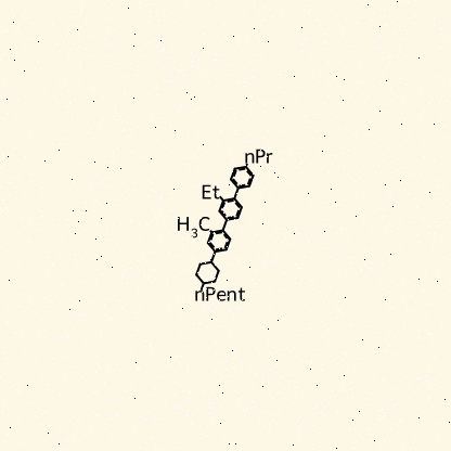 CCCCCC1CCC(c2ccc(-c3ccc(-c4ccc(CCC)cc4)c(CC)c3)c(C)c2)CC1